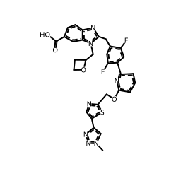 Cn1cc(-c2cnc(COc3cccc(-c4cc(F)c(Cc5nc6ccc(C(=O)O)cc6n5CC5CCO5)cc4F)n3)s2)nn1